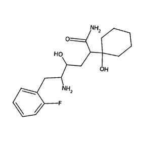 NC(=O)C(CC(O)C(N)Cc1ccccc1F)C1(O)CCCCC1